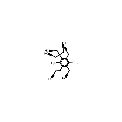 C#CCCc1c(N)c(C(CC#C)(CC#C)CC#C)c(CC#C)c(C)c1CC#C